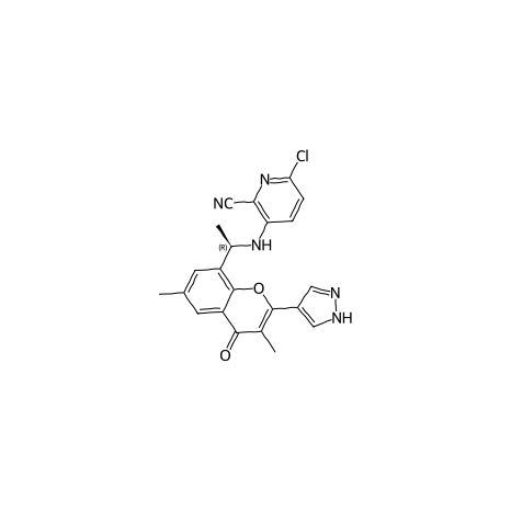 Cc1cc([C@@H](C)Nc2ccc(Cl)nc2C#N)c2oc(-c3cn[nH]c3)c(C)c(=O)c2c1